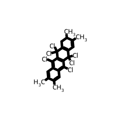 CC1=CC2=C(CC1C)C(Cl)(Cl)c1c(c(Cl)c3cc(C)c(C)cc3c1Cl)C2(Cl)Cl